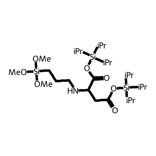 CO[Si](CCCNC(CC(=O)O[Si](C(C)C)(C(C)C)C(C)C)C(=O)O[Si](C(C)C)(C(C)C)C(C)C)(OC)OC